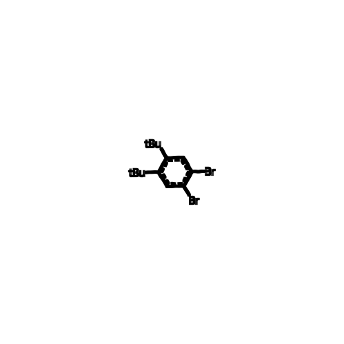 CC(C)(C)c1cc(Br)c(Br)cc1C(C)(C)C